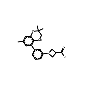 Cc1cc2c(c(-c3cccc(N4CC(C(=O)O)C4)c3)c1)NCC(C)(C)O2